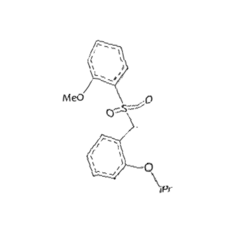 COc1ccccc1S(=O)(=O)[CH]c1ccccc1OC(C)C